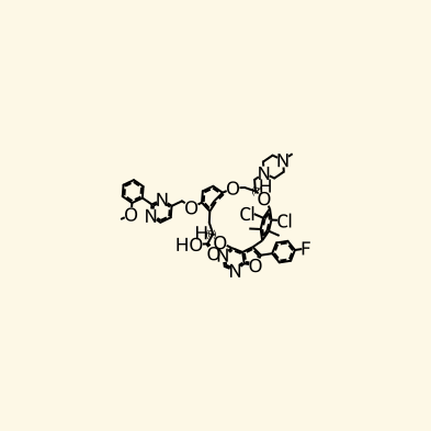 COc1ccccc1-c1nccc(COc2ccc3cc2C[C@H](C(=O)O)Oc2ncnc4oc(-c5ccc(F)cc5)c(c24)-c2c(C)c(Cl)c(c(Cl)c2C)O[C@H](CN2CCN(C)CC2)CO3)n1